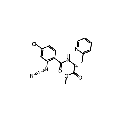 COC(=O)[C@@H](Cc1ccccn1)NC(=O)c1ccc(Cl)cc1N=[N+]=[N-]